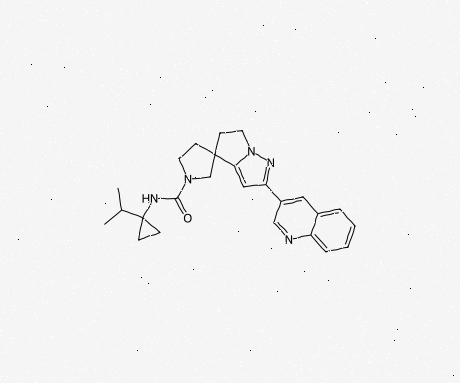 CC(C)C1(NC(=O)N2CCC3(CCn4nc(-c5cnc6ccccc6c5)cc43)C2)CC1